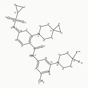 Cc1cc(NC(=O)C2=C(N3CCC4(CC3)CC4)CC(=NS(=O)(=O)C3CC3)C=C2)cc(N2CCC(F)(F)CC2)n1